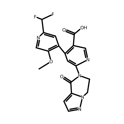 COc1cnc(C(F)F)cc1-c1cc(N2CCn3nccc3C2=O)ncc1C(=O)O